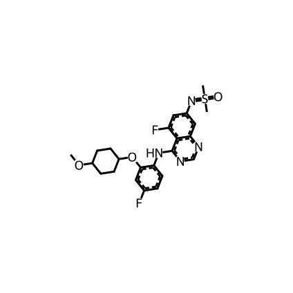 COC1CCC(Oc2cc(F)ccc2Nc2ncnc3cc(N=S(C)(C)=O)cc(F)c23)CC1